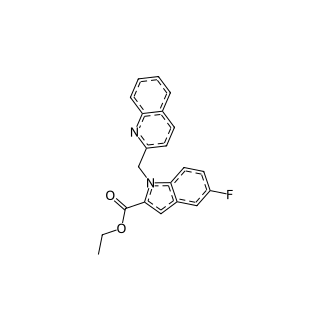 CCOC(=O)c1cc2cc(F)ccc2n1Cc1ccc2ccccc2n1